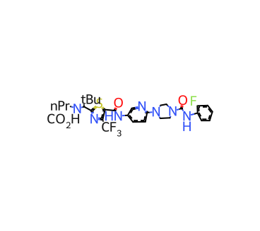 CCCN(C(=O)O)C(c1nc(C(F)(F)F)c(C(=O)Nc2ccc(N3CCN(C(=O)Nc4ccccc4F)CC3)nc2)s1)C(C)(C)C